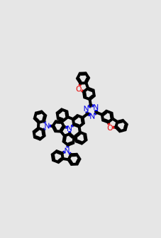 c1ccc(-c2cc(-c3nc(-c4ccc5c(c4)oc4ccccc45)nc(-c4ccc5c(c4)oc4ccccc45)n3)cc(-c3ccccc3)c2-n2c3ccc(-n4c5ccccc5c5ccccc54)cc3c3cc(-n4c5ccccc5c5ccccc54)ccc32)cc1